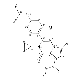 CCC(C)c1cc(C)n2nc(-c3ccc(OC(F)F)cc3Cl)n(C3CC3)c(=O)c12